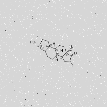 C[C@]12CC[C@@H](O)CC1CC[C@@H]1[C@@H]2CC[C@]2(C)C(=O)C(F)C[C@@H]12